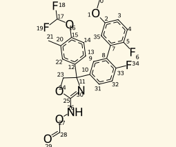 COc1ccc(F)c(-c2cc(C3(c4ccc(OC(F)F)c(C)c4)COC(NOC=O)=N3)ccc2F)c1